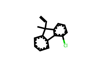 C=CC1(C)c2ccccc2-c2c(Cl)cccc21